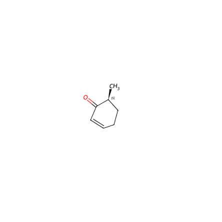 C[C@H]1CCC=CC1=O